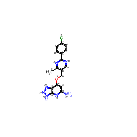 Cc1nc(-c2ccc(Cl)cc2)ncc1COc1cc(N)nc2[nH]nnc12